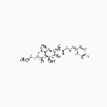 COCCN1CN(C)n2cc(C(=O)NCCOc3ccccc3)c(=O)c(O)c2C1=O